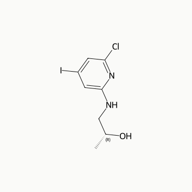 C[C@@H](O)CNc1cc(I)cc(Cl)n1